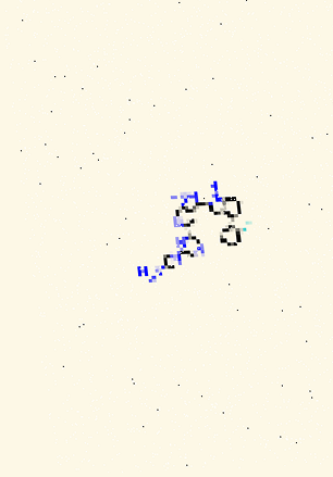 NC1CN(c2cncc(-c3cc4c(-c5cc6c(-c7ccccc7F)cccc6[nH]5)n[nH]c4cn3)n2)C1